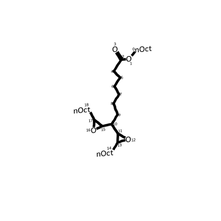 CCCCCCCCOC(=O)CCCCCCC(C1OC1CCCCCCCC)C1OC1CCCCCCCC